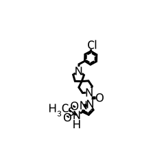 CS(=O)(=O)Nc1ccn(C(=O)N2CCC3(CCN(Cc4cccc(Cl)c4)C3)CC2)n1